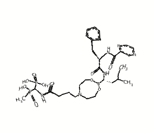 CC(C)C[C@@H](NC(=O)[C@@H](Cc1ccccc1)NC(=O)c1cnccn1)B1OCCN(CCCC(=O)NC(P(C)(=O)O)P(=O)(O)O)CCO1